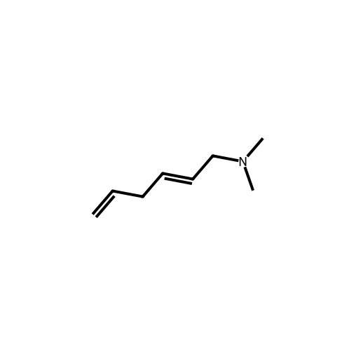 C=CCC=CCN(C)C